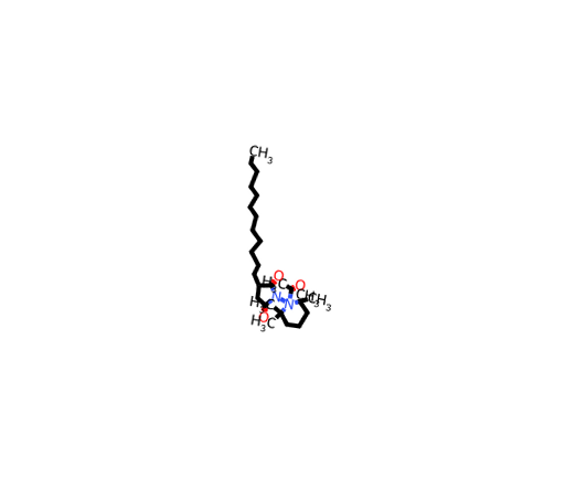 CCCCCCCCCCCCC1CC(=O)N([N+]2(C(C)=O)C(C)(C)CCCC2(C)C)C1=O